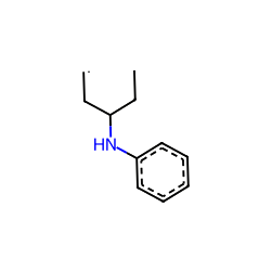 [CH2]CC(CC)Nc1ccccc1